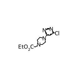 CCOC(=O)CN1CCN(c2cc(Cl)ncn2)CC1